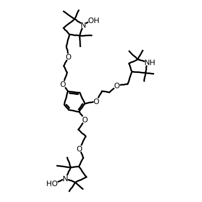 CC1(C)CC(COCCOc2cc(OCCOCC3CC(C)(C)N(O)C3(C)C)ccc2OCCOCC2CC(C)(C)N(O)C2(C)C)C(C)(C)N1